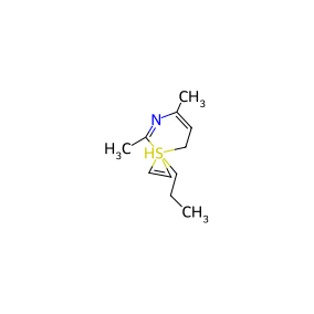 CCC[SH]12(C=C1)CC=C(C)N=C2C